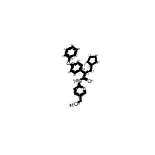 O=C(Nc1ccc(CO)cn1)C(CC1CCCC1)c1ccc(Oc2ccccc2)cc1